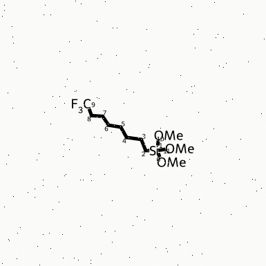 CO[Si](CCCCCCCC(F)(F)F)(OC)OC